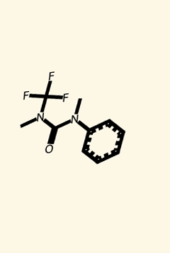 CN(C(=O)N(C)C(F)(F)F)c1ccccc1